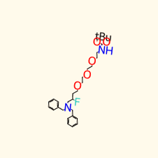 CC(C)(C)OC(=O)NCCOCCOCCOCCC(F)CN(Cc1ccccc1)Cc1ccccc1